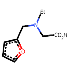 CCN(CC(=O)O)Cc1ccco1